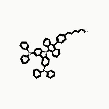 BrCCCCCc1ccc(-c2c3ccccc3c(-n3c4ccc(N(c5ccccc5)c5ccccc5)cc4c4cc(N(c5ccccc5)c5ccccc5)ccc43)c3ccccc23)cc1